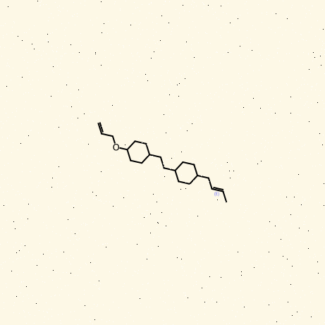 C=CCOC1CCC(CCC2CCC(C/C=C/C)CC2)CC1